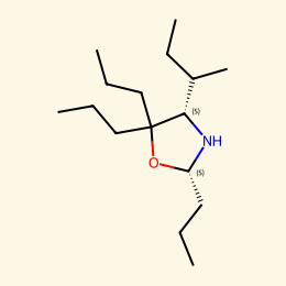 CCC[C@H]1N[C@@H](C(C)CC)C(CCC)(CCC)O1